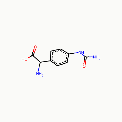 NC(=O)Nc1ccc(C(N)C(=O)O)cc1